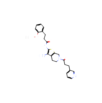 COc1ccccc1CCC(=O)Nc1sc2c(c1N)CCN(C(=O)CCc1cccnc1)C2